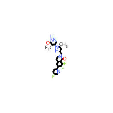 C[C@@H](CCCn1ccc2cc(-c3ccc(F)cn3)c(F)c(F)c2c1=O)Nc1cn[nH]c(=O)c1C(F)(F)F